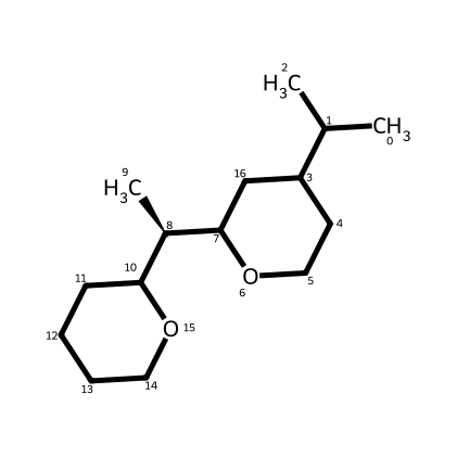 CC(C)C1CCOC([C@H](C)C2CCCCO2)C1